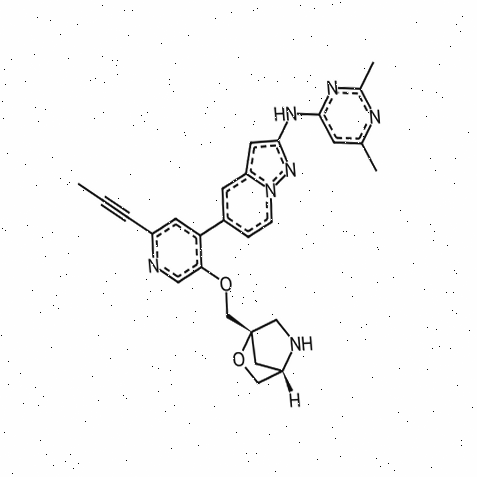 CC#Cc1cc(-c2ccn3nc(Nc4cc(C)nc(C)n4)cc3c2)c(OC[C@]23CN[C@H](CO2)C3)cn1